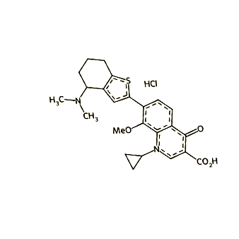 COc1c(-c2cc3c(s2)CCCC3N(C)C)ccc2c(=O)c(C(=O)O)cn(C3CC3)c12.Cl